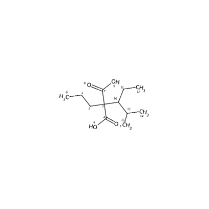 CCCC(C(=O)O)(C(=O)O)C(CC)C(C)C